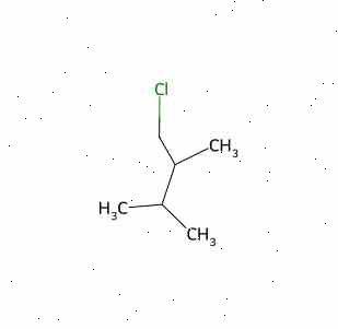 CC(C)C(C)CCl